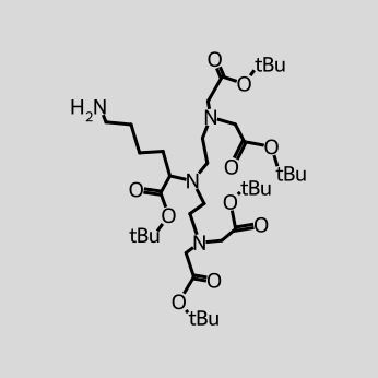 CC(C)(C)OC(=O)CN(CCN(CCN(CC(=O)OC(C)(C)C)CC(=O)OC(C)(C)C)C(CCCCN)C(=O)OC(C)(C)C)CC(=O)OC(C)(C)C